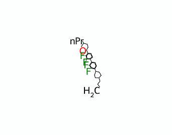 C=CCCC1CCC(c2ccc(-c3ccc(C4CCC(CCC)CO4)c(F)c3F)c(F)c2F)CC1